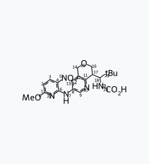 COc1ccc([N+](=O)[O-])c(Nc2cnc3c(c2)COCC3C(NC(=O)O)C(C)(C)C)n1